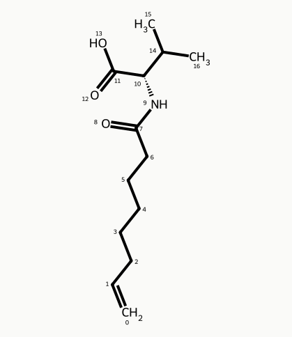 C=CCCCCCC(=O)N[C@H](C(=O)O)C(C)C